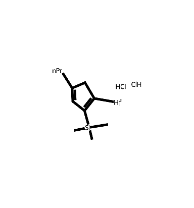 CCCC1=CC([Si](C)(C)C)=[C]([Hf])C1.Cl.Cl